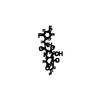 C[C@@H]1CN2C(=O)C3=C(O)C(=O)C(C(=O)NCc4ccc(F)cc4F)=NC3CC2O1